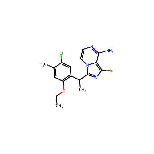 CCOc1cc(C)c(Cl)cc1C(C)c1nc(Br)c2c(N)nccn12